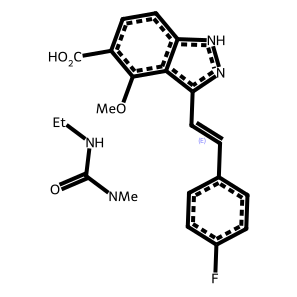 CCNC(=O)NC.COc1c(C(=O)O)ccc2[nH]nc(/C=C/c3ccc(F)cc3)c12